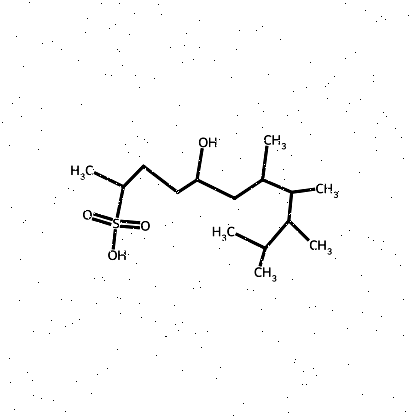 CC(C)C(C)C(C)C(C)CC(O)CCC(C)S(=O)(=O)O